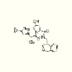 CC(C)(C)[C@@H](C(=O)N1CC(O)CC1C(=O)NCC1COCc2ccccc21)n1cc(C2CC2)nn1